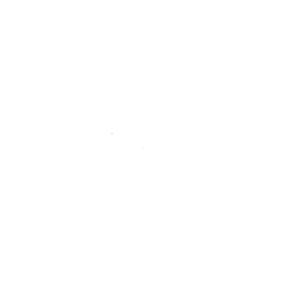 C=CS(=C)C